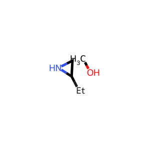 CCC1CN1.CO